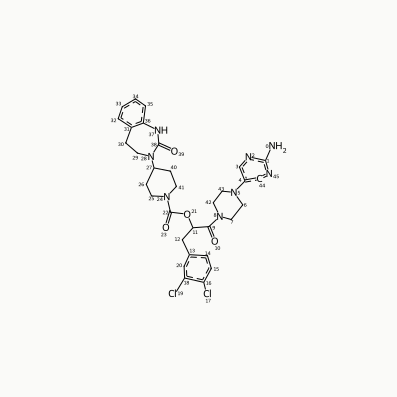 Nc1ncc(N2CCN(C(=O)C(Cc3ccc(Cl)c(Cl)c3)OC(=O)N3CCC(N4CCc5ccccc5NC4=O)CC3)CC2)cn1